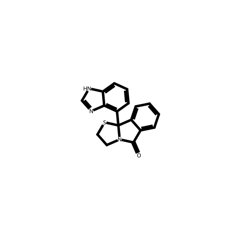 O=C1c2ccccc2C2(c3cccc4[nH]cnc34)SCCN12